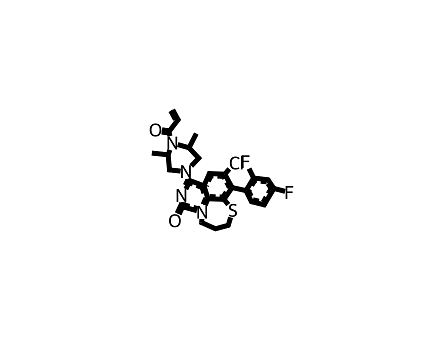 C=CC(=O)N1C(C)CN(c2nc(=O)n3c4c(c(-c5ccc(F)cc5F)c(Cl)cc24)SCCC3)CC1C